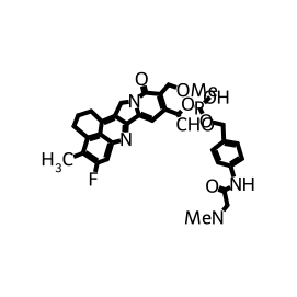 CNCC(=O)Nc1ccc(COP(O)OC(C=O)c2cc3n(c(=O)c2COC)Cc2c-3nc3cc(F)c(C)c4c3c2CCC4)cc1